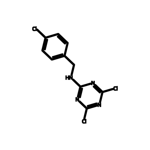 Clc1ccc(CNc2nc(Cl)nc(Cl)n2)cc1